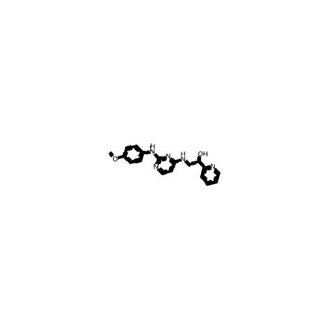 COc1ccc(Nc2nccc(NCC(O)c3ccccn3)n2)cc1